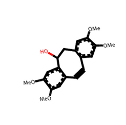 COc1cc2c(cc1OC)CC(O)c1cc(OC)c(OC)cc1C#C2